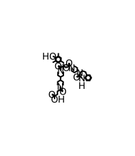 Cc1cc(C[C@@H](OC(=O)N2CCC(N3CCc4ccccc4NC3=O)CC2)C(=O)N2CCC(C3CCN(C(=O)CCC(=O)O)CC3)CC2)cc(C)c1O